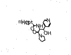 CCCCCCCC(=O)NC(C(=O)N1CCCC1)C(O)c1ccncc1.Cl